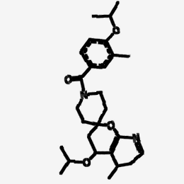 Cc1cc(C(=O)N2CCC3(CC2)CC(OC(C)C)C2=C(N=CCC2C)O3)ccc1OC(C)C